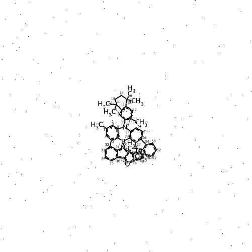 Cc1cc2c3c(c1)N(c1cc4c(cc1C)C(C)(C)CCC4(C)C)c1ccc4c(c1B3n1c3c-2cccc3c2oc3ccccc3c21)C(C)(C)c1ccccc1-4